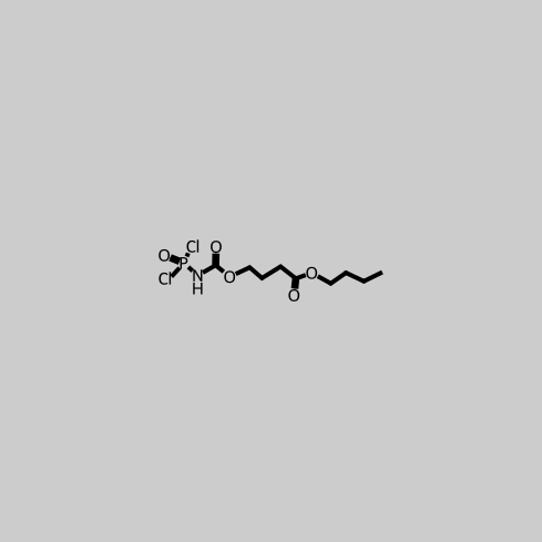 CCCCOC(=O)CCCOC(=O)NP(=O)(Cl)Cl